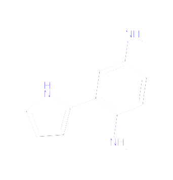 Nc1ccc(N)c(-c2ccc[nH]2)c1